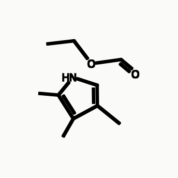 CCOC=O.Cc1c[nH]c(C)c1C